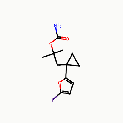 CC(C)(CC1(c2ccc(I)o2)CC1)OC(N)=O